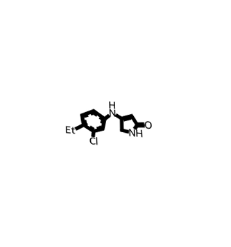 CCc1ccc(NC2=CC(=O)NC2)cc1Cl